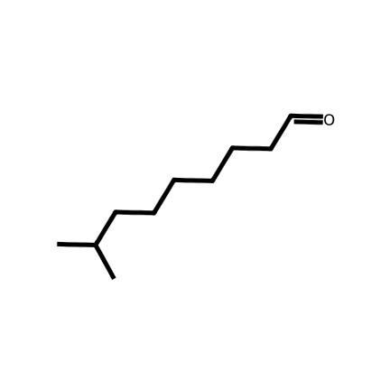 C[C](C)CCCCCCC=O